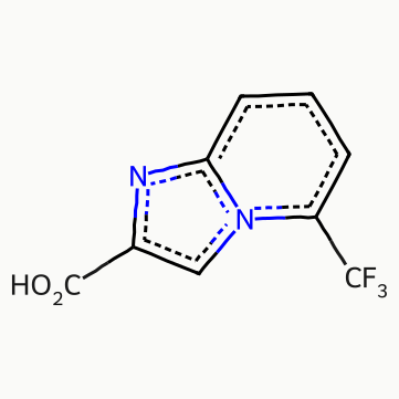 O=C(O)c1cn2c(C(F)(F)F)cccc2n1